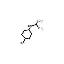 CC(NC1CCC(C(C)C)CC1)C(=O)O